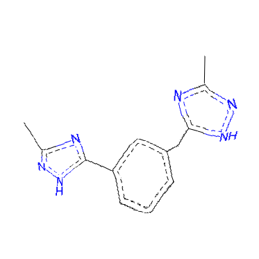 Cc1n[nH]c(-c2cccc(-c3nc(C)n[nH]3)c2)n1